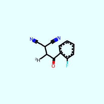 [2H]C(C(=O)c1ccccc1F)C(C#N)C#N